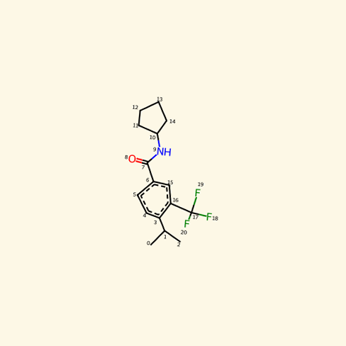 CC(C)c1ccc(C(=O)NC2CCCC2)cc1C(F)(F)F